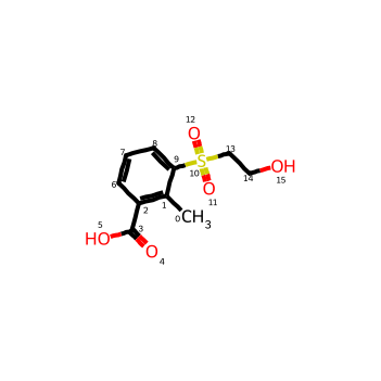 Cc1c(C(=O)O)cccc1S(=O)(=O)CCO